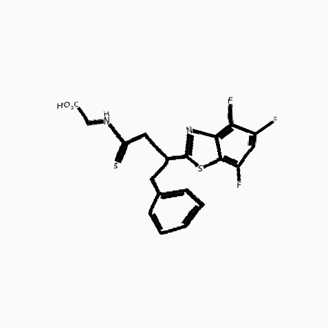 O=C(O)CNC(=S)CC(Cc1ccccc1)c1nc2c(F)c(F)cc(F)c2s1